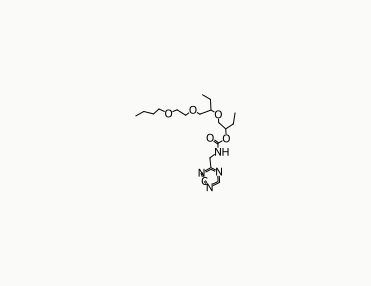 CCCCOCCOCC(CC)OCC(CC)OC(=O)NCc1ncncn1